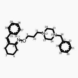 C(=C1CCCCC1=NOCCCN1CCN(Cc2ccccc2)CC1)c1ccccc1